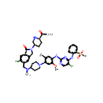 Cc1cc(Nc2ncc(Cl)c(Nc3ccccc3S(=O)(=O)C(C)C)n2)c(OC(C)C)cc1N1CCC(N(C)Cc2cc3c(cc2F)C(=O)N(C2CCC(C(=O)C=O)NC2)C3)CC1